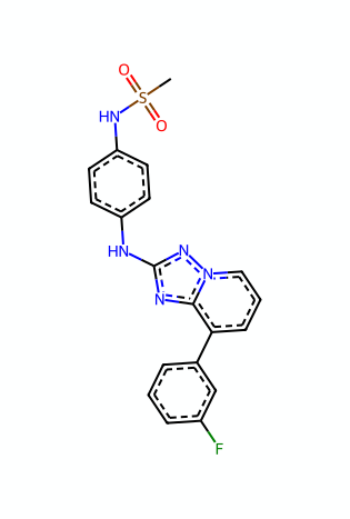 CS(=O)(=O)Nc1ccc(Nc2nc3c(-c4cccc(F)c4)cccn3n2)cc1